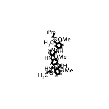 C=CC(=O)NNc1cc(Nc2cc(Nc3ccc(OC)c(C(C)OCCC(C)C)c3)ncn2)c(OC)cc1N(C)c1ccccc1OC